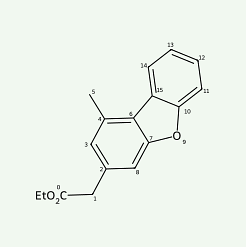 CCOC(=O)Cc1cc(C)c2c(c1)oc1ccccc12